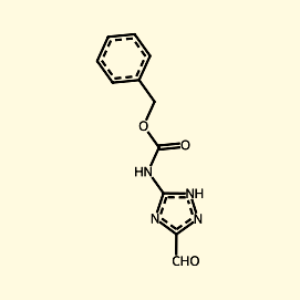 O=Cc1n[nH]c(NC(=O)OCc2ccccc2)n1